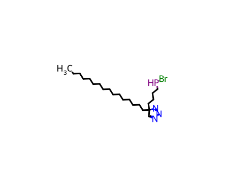 CCCCCCCCCCCCCCCCC1(CCCCPBr)C=NN=N1